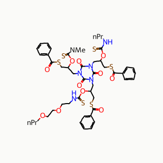 CCCNC(=S)OC(CSC(=O)c1ccccc1)Cn1c(=O)n(CC(CSC(=O)c2ccccc2)OC(=S)NC)c(=O)n(CC(CSC(=O)c2ccccc2)OC(=S)NCCOCCOCCC)c1=O